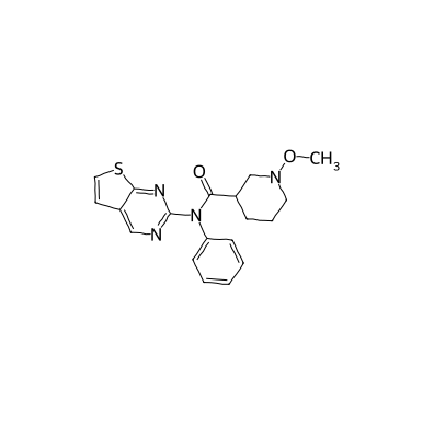 CON1CCCC(C(=O)N(c2ccccc2)c2ncc3ccsc3n2)C1